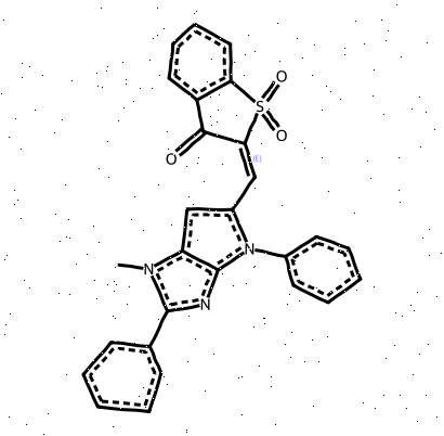 Cn1c(-c2ccccc2)nc2c1cc(/C=C1\C(=O)c3ccccc3S1(=O)=O)n2-c1ccccc1